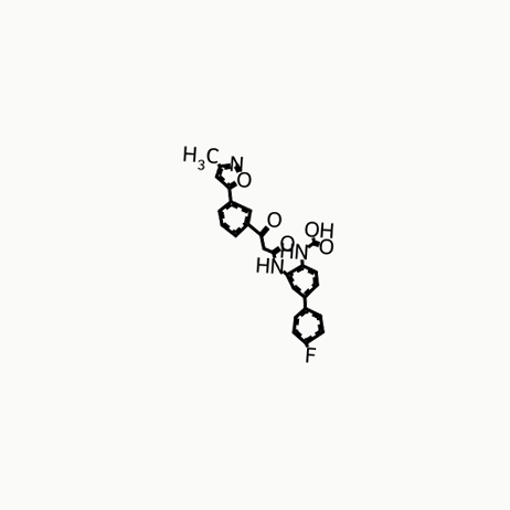 Cc1cc(-c2cccc(C(=O)CC(=O)Nc3cc(-c4ccc(F)cc4)ccc3NC(=O)O)c2)on1